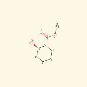 CCOC(=O)[C@@H]1CCCC[C@H]1O